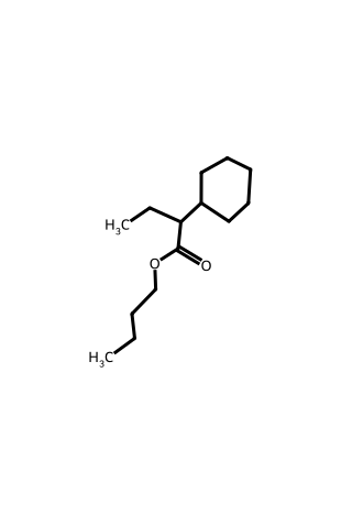 CCCCOC(=O)C(CC)C1CCCCC1